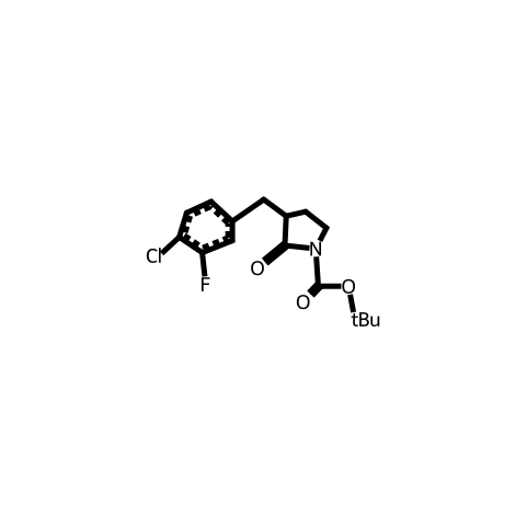 CC(C)(C)OC(=O)N1CCC(Cc2ccc(Cl)c(F)c2)C1=O